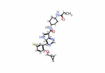 CCC(=O)N[C@H]1CC[C@H](NC(=O)c2c[nH]c3c(-c4cc(F)ccc4OCC4CC4)ncnc23)CC1